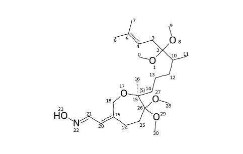 COC(CC=C(C)C)(OC)C(C)CCC[C@]1(C)OCC(=CC=NO)CCC1(OC)OC